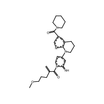 C=C(CCCOC)C(=O)n1ccc(N2CCCc3cc(C(=O)N4CCCCC4)cnc32)cc1=N